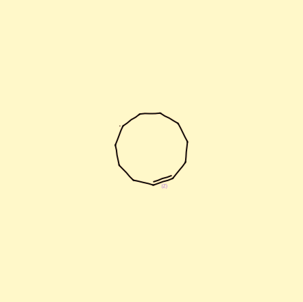 [CH]1CCC/C=C\CCCCC1